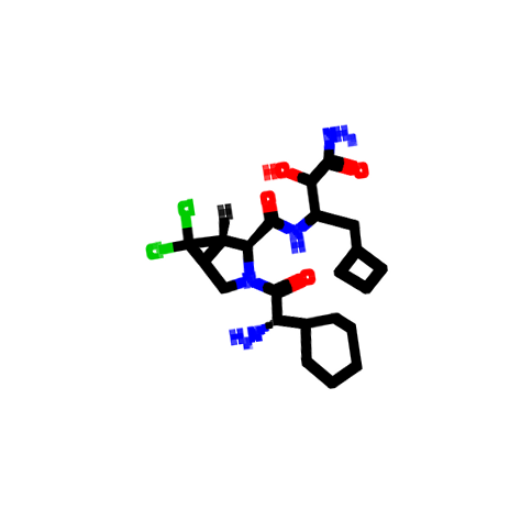 NC(=O)C(O)C(CC1CCC1)NC(=O)[C@@H]1[C@@H]2C(CN1C(=O)[C@@H](N)C1CCCCC1)C2(Cl)Cl